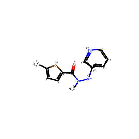 Cc1ccc(C(=O)N(C)Nc2cccnc2)s1